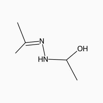 CC(C)=NNC(C)O